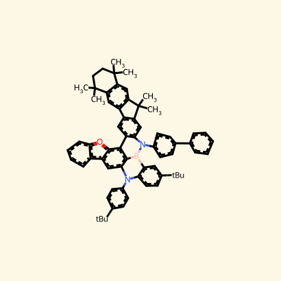 CC(C)(C)c1ccc(N2c3ccc(C(C)(C)C)cc3B3c4c2cc2c(oc5ccccc52)c4-c2cc4c(cc2N3c2ccc(-c3ccccc3)cc2)C(C)(C)c2cc3c(cc2-4)C(C)(C)CCC3(C)C)cc1